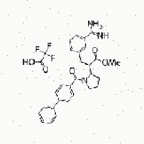 COC(=O)[C@H](Cc1cccc(C(=N)N)c1)[C@H]1CCCN1C(=O)c1ccc(-c2ccccc2)cc1.O=C(O)C(F)(F)F